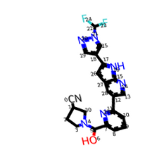 N#CC1CCN(C(O)c2cccc(-c3cnc4[nH]c(-c5cnn(C(F)F)c5)cc4c3)n2)C1